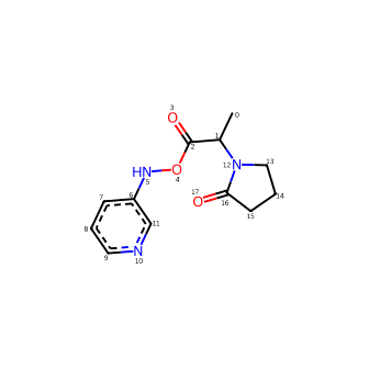 CC(C(=O)ONc1cccnc1)N1CCCC1=O